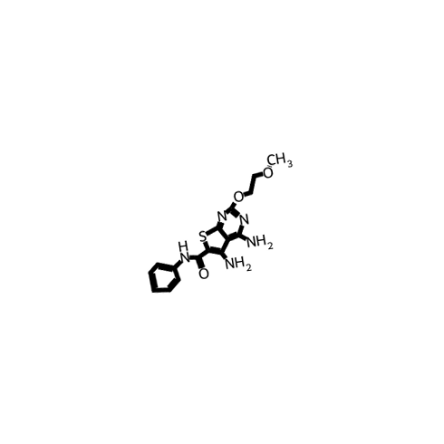 COCCOc1nc(N)c2c(N)c(C(=O)Nc3ccccc3)sc2n1